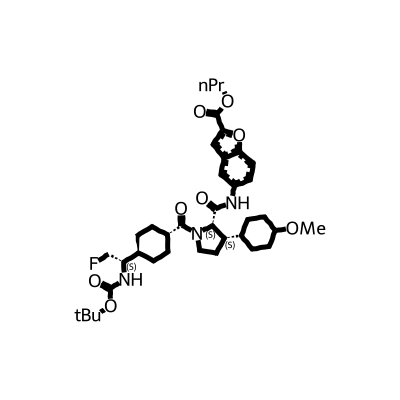 CCCOC(=O)c1cc2cc(NC(=O)[C@@H]3[C@H](C4CCC(OC)CC4)CCN3C(=O)[C@H]3CC[C@H]([C@@H](CF)NC(=O)OC(C)(C)C)CC3)ccc2o1